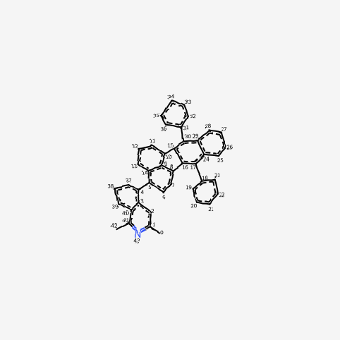 Cc1cc2c(-c3ccc4c5c(cccc35)-c3c-4c(-c4ccccc4)c4ccccc4c3-c3ccccc3)cccc2c(C)n1